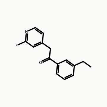 CCc1cccc(C(=O)Cc2ccnc(F)c2)c1